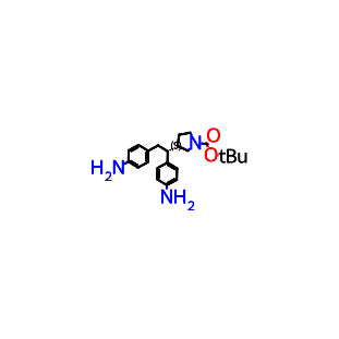 CC(C)(C)OC(=O)N1CC[C@@H](C(Cc2ccc(N)cc2)c2ccc(N)cc2)C1